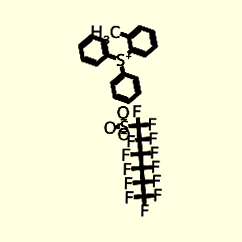 Cc1ccccc1[S+](c1ccccc1)c1ccccc1.O=S(=O)([O-])C(F)(F)C(F)(F)C(F)(F)C(F)(F)C(F)(F)C(F)(F)F